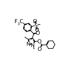 Cc1nn(C)c(OC(=O)C2=CCCCC2)c1C(=O)c1ccc(C(F)(F)F)cc1S(C)(=O)=O